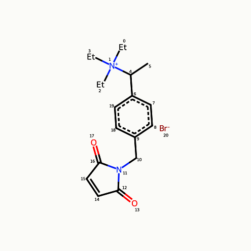 CC[N+](CC)(CC)C(C)c1ccc(CN2C(=O)C=CC2=O)cc1.[Br-]